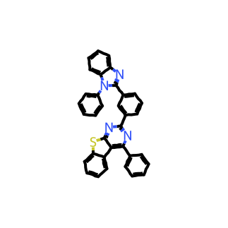 c1ccc(-c2nc(-c3cccc(-c4nc5ccccc5n4-c4ccccc4)c3)nc3sc4ccccc4c23)cc1